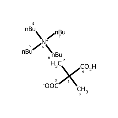 CC(C)(C(=O)[O-])C(=O)O.CCCC[N+](CCCC)(CCCC)CCCC